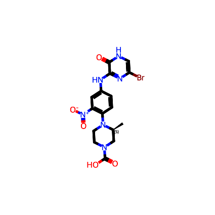 C[C@H]1CN(C(=O)O)CCN1c1ccc(Nc2nc(Br)c[nH]c2=O)cc1[N+](=O)[O-]